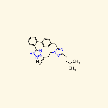 C=CCCn1nc(CCC(C)C)nc1Cc1ccc(-c2ccccc2-c2nnn[nH]2)cc1